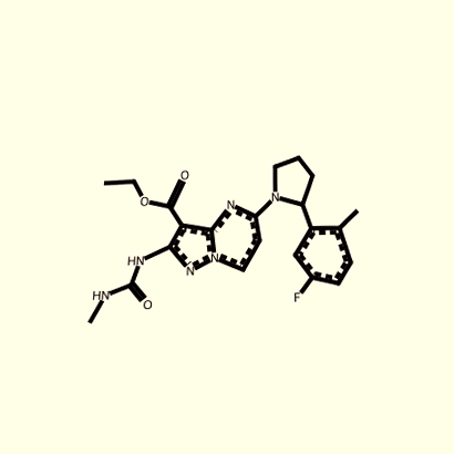 CCOC(=O)c1c(NC(=O)NC)nn2ccc(N3CCCC3c3cc(F)ccc3C)nc12